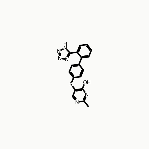 Cc1ncc(Sc2ccc(-c3ccccc3-c3nnn[nH]3)cc2)c(O)n1